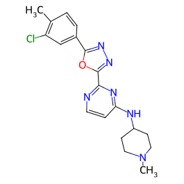 Cc1ccc(-c2nnc(-c3nccc(NC4CCN(C)CC4)n3)o2)cc1Cl